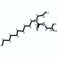 CCCCCCCCCCN(CCC)C(=S)SCC(C)C